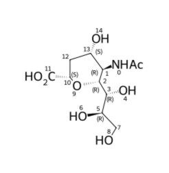 CC(=O)N[C@H]1[C@H]([C@H](O)[C@H](O)CO)O[C@H](C(=O)O)C[C@@H]1O